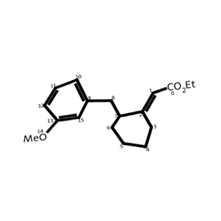 CCOC(=O)C=C1CCCCC1Cc1cccc(OC)c1